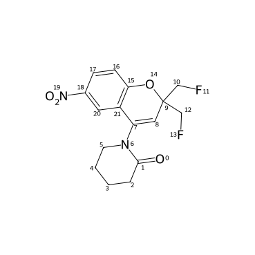 O=C1CCCCN1C1=CC(CF)(CF)Oc2ccc([N+](=O)[O-])cc21